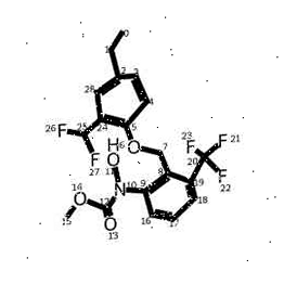 CCc1ccc(OCc2c(N(O)C(=O)OC)cccc2C(F)(F)F)c(C(F)F)c1